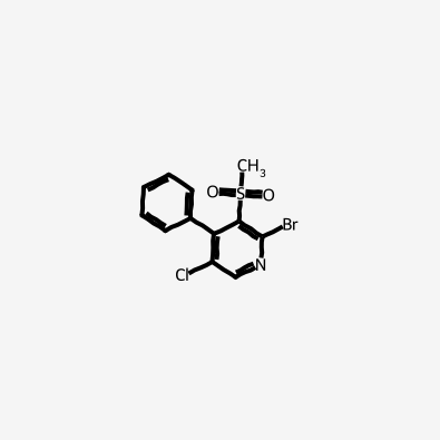 CS(=O)(=O)c1c(Br)ncc(Cl)c1-c1ccccc1